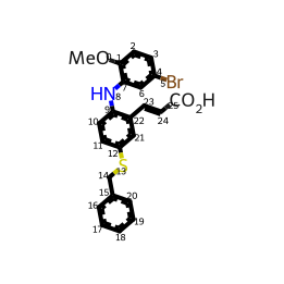 COc1ccc(Br)cc1Nc1ccc(SCc2ccccc2)cc1C=CC(=O)O